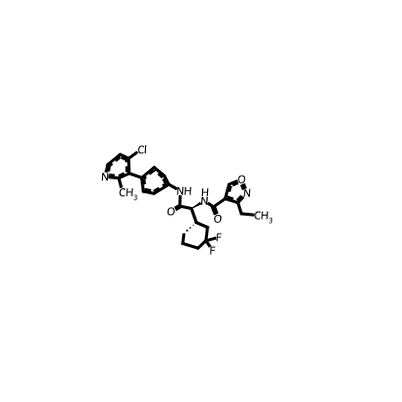 CCc1nocc1C(=O)N[C@H](C(=O)Nc1ccc(-c2c(Cl)ccnc2C)cc1)[C@H]1CCCC(F)(F)C1